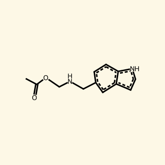 CC(=O)OCNCc1ccc2[nH]ccc2c1